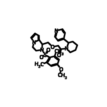 COc1cc(C)c(S(=O)(=O)N2CCn3cccc3C2COCC(=O)N2CCCCC2c2ccncc2)c(C)c1